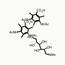 CC(=O)Nc1c(I)c(NC(C)=O)c(I)c(C(=O)O)c1I.CC(=O)Nc1c(I)c(NC(C)=O)c(I)c(C(=O)O)c1I.CNC[C@H](O)[C@@H](O)[C@H](O)[C@H](O)CO